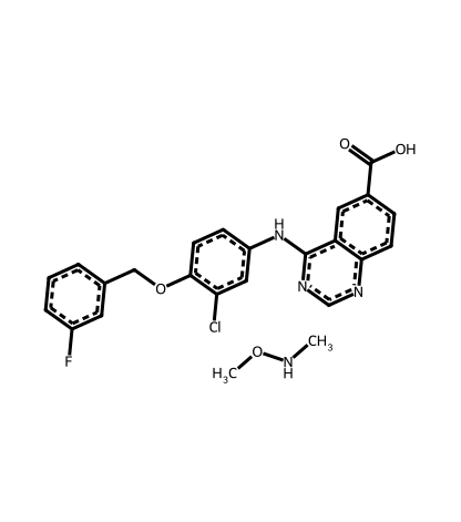 CNOC.O=C(O)c1ccc2ncnc(Nc3ccc(OCc4cccc(F)c4)c(Cl)c3)c2c1